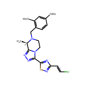 COc1ccc(CN2CCn3c(-c4nc(/C=C/Cl)ns4)nnc3[C@H]2C)c(OC)c1